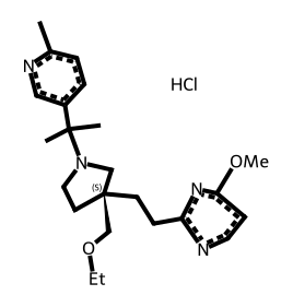 CCOC[C@@]1(CCc2nccc(OC)n2)CCN(C(C)(C)c2ccc(C)nc2)C1.Cl